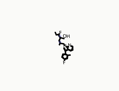 CC/C(F)=C(\C=C(\C)Cn1cc(-c2ccc(F)cc2C)c2cccnc21)CO